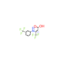 O=C(O)/C=C(\Nc1cccc(C(F)(F)F)c1)C(F)(F)F